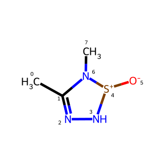 CC1=NN[S+]([O-])N1C